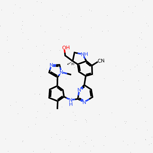 Cc1ccc(-c2cncn2C)cc1Nc1nccc(-c2cc(C#N)c3c(c2)[C@@](C)(CO)CN3)n1